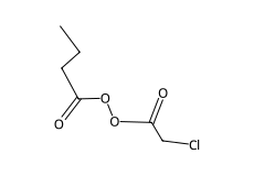 CCCC(=O)OOC(=O)CCl